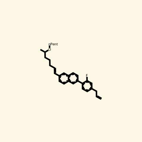 C=CCc1ccc(-c2ccc3cc(C=CCCCC(C)OCCCCC)ccc3c2)c(F)c1